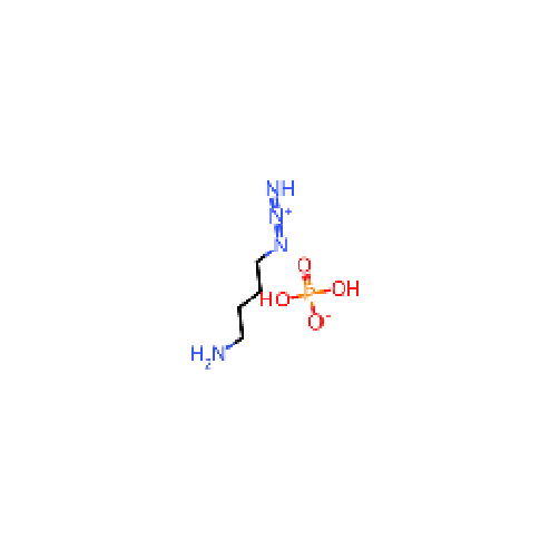 N=[N+]=NCCCCN.O=P([O-])(O)O